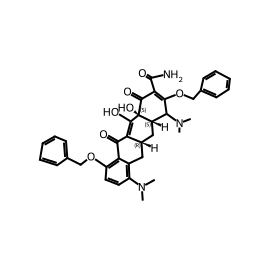 CN(C)c1ccc(OCc2ccccc2)c2c1C[C@H]1C[C@H]3C(N(C)C)C(OCc4ccccc4)=C(C(N)=O)C(=O)[C@@]3(O)C(O)=C1C2=O